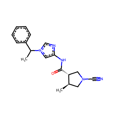 CC(c1ccccc1)n1cnc(NC(=O)[C@@H]2CN(C#N)C[C@H]2C)c1